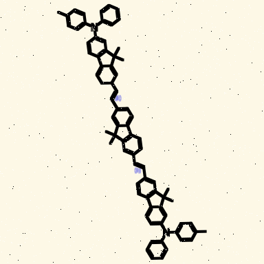 Cc1ccc(N(c2ccccc2)c2ccc3c(c2)C(C)(C)C2=CC(/C=C/c4ccc5c(c4)C(C)(C)c4cc(/C=C/c6ccc7c(c6)C(C)(C)c6cc(N(c8ccccc8)c8ccc(C)cc8)ccc6-7)ccc4-5)CC=C23)cc1